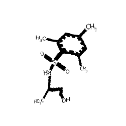 Cc1cc(C)c(S(=O)(=O)NC(CO)C(=O)O)c(C)c1